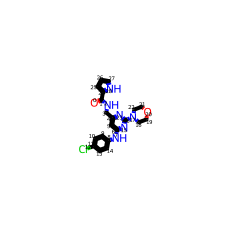 O=C(NCc1cc(Nc2ccc(Cl)cc2)nc(N2CCOCC2)n1)c1ccc[nH]1